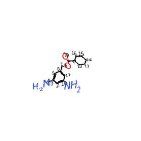 Nc1cc(N)cc(COC(=O)C2CCCCC2)c1